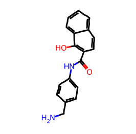 NCc1ccc(NC(=O)c2ccc3ccccc3c2O)cc1